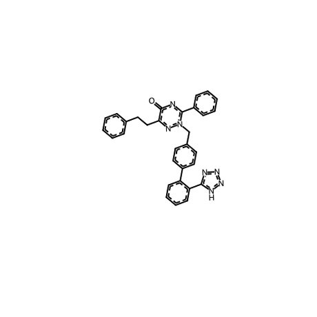 O=c1nc(-c2ccccc2)n(Cc2ccc(-c3ccccc3-c3nnn[nH]3)cc2)nc1CCc1ccccc1